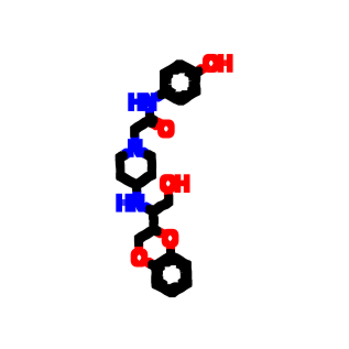 O=C(CN1CCC(NC(CO)C2COc3ccccc3O2)CC1)Nc1ccc(O)cc1